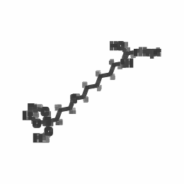 CCCCCCCC(O)=[SH]CCCCCCSCCC[Si](OCC)(OCC)OCC